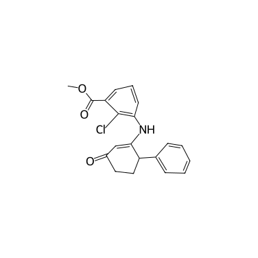 COC(=O)c1cccc(NC2=CC(=O)CCC2c2ccccc2)c1Cl